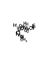 Cc1nc(NC(=O)NC(=O)C2CCC(F)(F)CC2)ccc1Oc1ccnc(-c2cnn(C)c2)c1